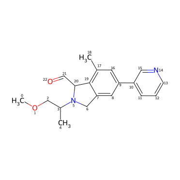 COCC(C)N1Cc2cc(-c3cccnc3)cc(C)c2C1C=O